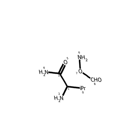 CC(C)C(N)C(N)=O.NOC=O